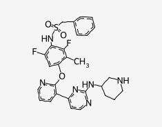 Cc1c(Oc2ncccc2-c2ccnc(NC3CCCNC3)n2)cc(F)c(NS(=O)(=O)Cc2ccccc2)c1F